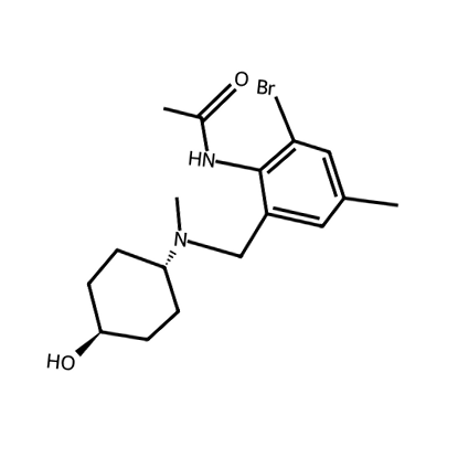 CC(=O)Nc1c(Br)cc(C)cc1CN(C)[C@H]1CC[C@H](O)CC1